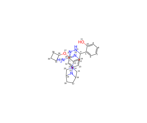 NC1=NNC(c2ccccc2O)C=C1N1CC2CCC(C1)N2c1ccnc(OC2CCC2)c1